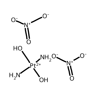 O=[N+]([O-])[O-].O=[N+]([O-])[O-].[NH2][Pt+2]([NH2])([OH])[OH]